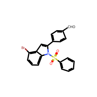 O=Cc1ccc(-c2cc3c(Br)cccc3n2S(=O)(=O)c2ccccc2)cc1